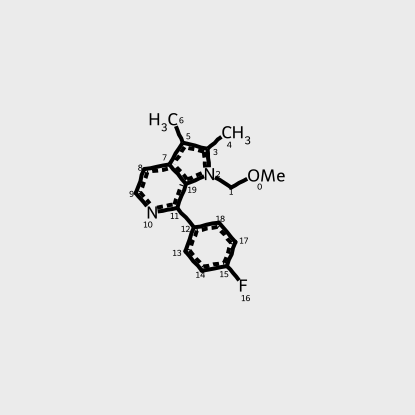 COCn1c(C)c(C)c2ccnc(-c3ccc(F)cc3)c21